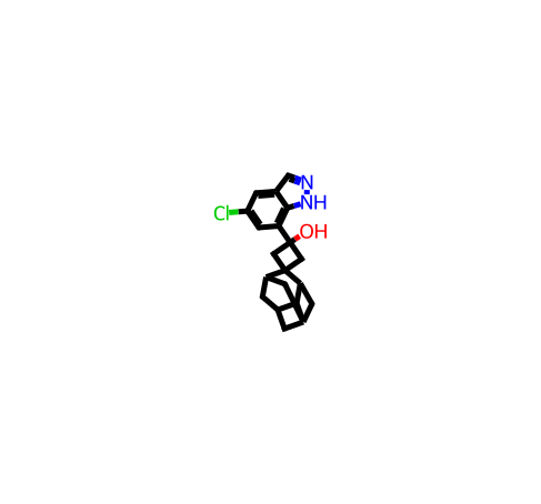 OC1(c2cc(Cl)cc3cn[nH]c23)CC2(C1)C1CC3CC4(C1)CC2C34